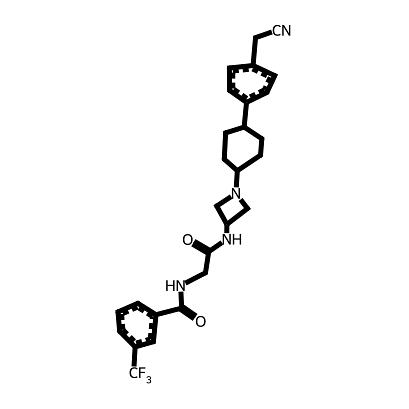 N#CCc1ccc(C2CCC(N3CC(NC(=O)CNC(=O)c4cccc(C(F)(F)F)c4)C3)CC2)cc1